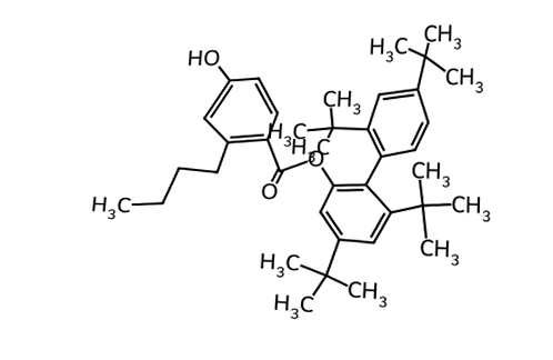 CCCCc1cc(O)ccc1C(=O)Oc1cc(C(C)(C)C)cc(C(C)(C)C)c1-c1ccc(C(C)(C)C)cc1C(C)(C)C